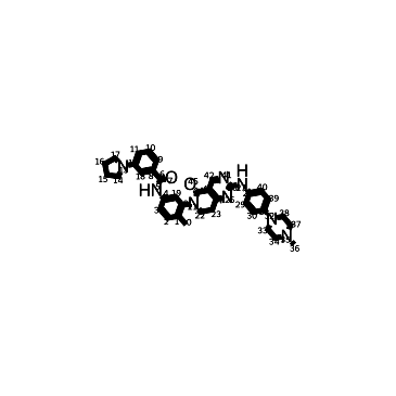 Cc1ccc(NC(=O)c2cccc(N3CCCC3)c2)cc1N1CCc2nc(Nc3ccc(N4CCN(C)CC4)cc3)ncc2C1=O